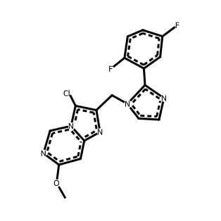 COc1cc2nc(Cn3ccnc3-c3cc(F)ccc3F)c(Cl)n2cn1